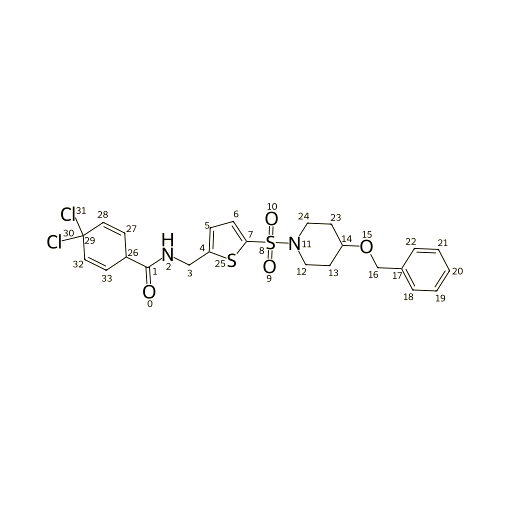 O=C(NCc1ccc(S(=O)(=O)N2CCC(OCc3ccccc3)CC2)s1)C1C=CC(Cl)(Cl)C=C1